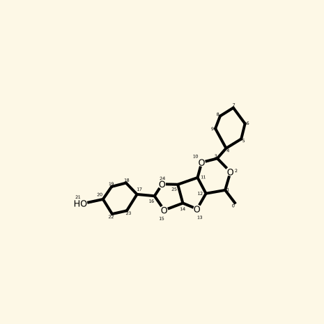 CC1OC(C2CCCCC2)OC2C1OC1OC(C3CCC(O)CC3)OC12